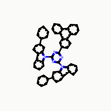 c1ccc(-c2ccc3c4ccccc4n(-c4nc(-c5ccc6c7ccccc7c7ccccc7c6c5)nc(-n5c6ccccc6c6ccc(-c7ccccc7)cc65)n4)c3c2)cc1